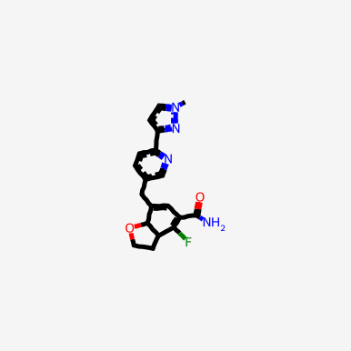 Cn1ccc(-c2ccc(CC3=CC(C(N)=O)=C(F)C4CCOC34)cn2)n1